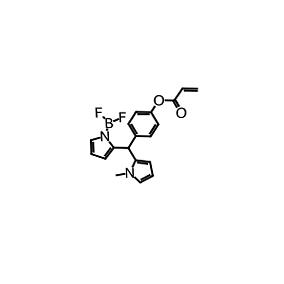 C=CC(=O)Oc1ccc(C(c2cccn2C)c2cccn2B(F)F)cc1